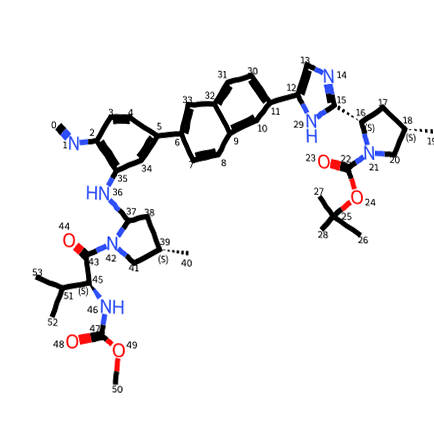 C=Nc1ccc(-c2ccc3cc(-c4cnc([C@@H]5C[C@H](C)CN5C(=O)OC(C)(C)C)[nH]4)ccc3c2)cc1NC1C[C@H](C)CN1C(=O)[C@@H](NC(=O)OC)C(C)C